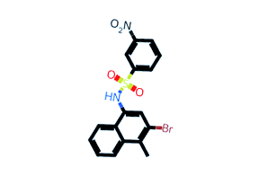 Cc1c(Br)cc(NS(=O)(=O)c2cccc([N+](=O)[O-])c2)c2ccccc12